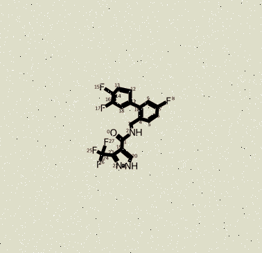 O=C(NCc1ccc(F)cc1-c1ccc(F)c(F)c1)c1c[nH]nc1C(F)(F)F